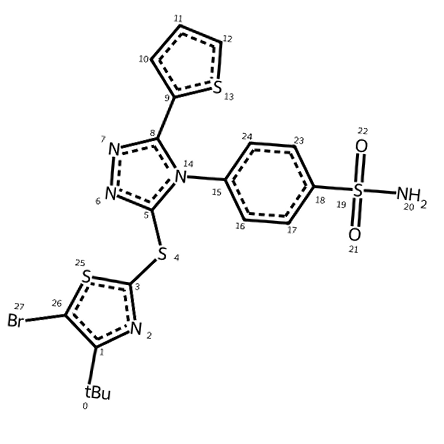 CC(C)(C)c1nc(Sc2nnc(-c3cccs3)n2-c2ccc(S(N)(=O)=O)cc2)sc1Br